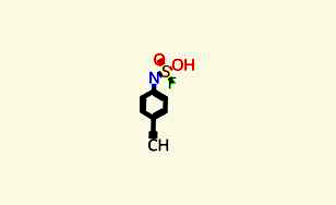 C#Cc1ccc(N=S(=O)(O)F)cc1